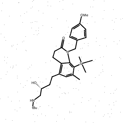 COc1ccc(CN2C(=O)CCc3c(CC[C@@H](O)CNC(C)(C)C)cc(C)c([Si](C)(C)C)c32)cc1